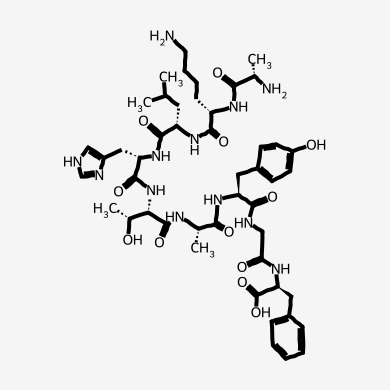 CC(C)C[C@H](NC(=O)[C@H](CCCCN)NC(=O)[C@H](C)N)C(=O)N[C@@H](Cc1c[nH]cn1)C(=O)N[C@H](C(=O)N[C@@H](C)C(=O)N[C@@H](Cc1ccc(O)cc1)C(=O)NCC(=O)N[C@@H](Cc1ccccc1)C(=O)O)[C@@H](C)O